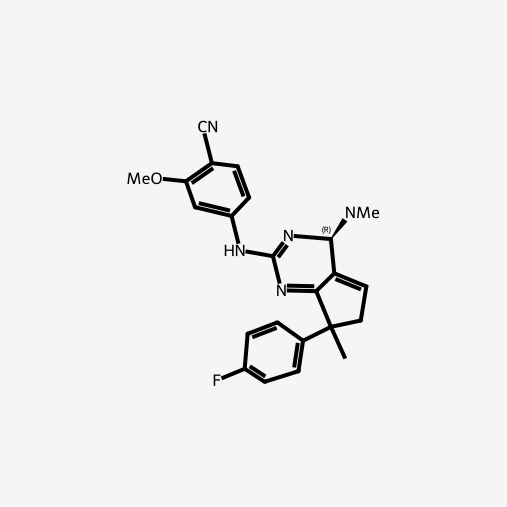 CN[C@@H]1N=C(Nc2ccc(C#N)c(OC)c2)N=C2C1=CCC2(C)c1ccc(F)cc1